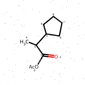 CC(=O)OC(=O)C(C)C1CCCC1